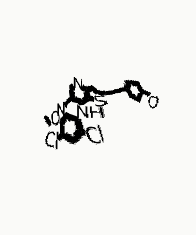 CCOc1cc(Nc2c(C#N)cnc3cc(-c4ccc(C=O)cc4)sc23)c(Cl)cc1Cl